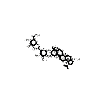 C=C(C)[C@@H]1CC[C@]2(C(=O)O)CC[C@]3(C)[C@H](CC[C@@H]4[C@@]5(C)CC[C@H](O[C@@H]6O[C@H](CO[C@@H]7O[C@H](CO)[C@@H](O)[C@H](O)[C@H]7O)[C@@H](O)[C@H](O)[C@H]6O)C(C)(C)[C@@H]5CC[C@]43C)[C@@H]12